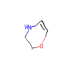 [C]1CNC=CO1